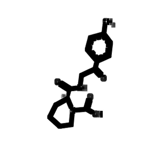 Cc1ccc(C(=O)CNC(=O)[C@@H]2CCCCN2C(=O)O)cc1